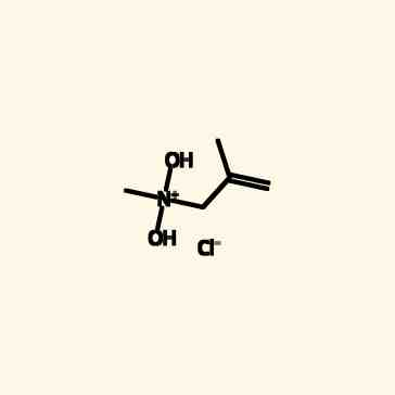 C=C(C)C[N+](C)(O)O.[Cl-]